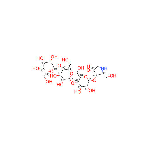 OC[C@H]1NC[C@@H](O)[C@@H]1O[C@@H]1O[C@H](CO)[C@@H](O[C@@H]2O[C@H](CO)[C@@H](O[C@@H]3O[C@H](CO)[C@@H](O)[C@H](O)[C@H]3O)[C@H](O)[C@H]2O)[C@H](O)[C@H]1O